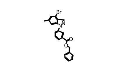 Cc1cc(Br)c2cnn(-c3cccc(C(=O)OCc4ccccc4)c3)c2c1